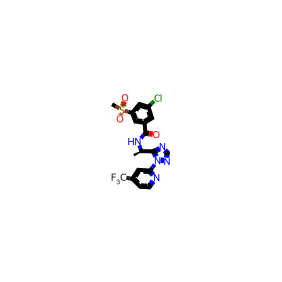 C[C@@H](NC(=O)c1cc(Cl)cc(S(C)(=O)=O)c1)c1ncnn1-c1cc(C(F)(F)F)ccn1